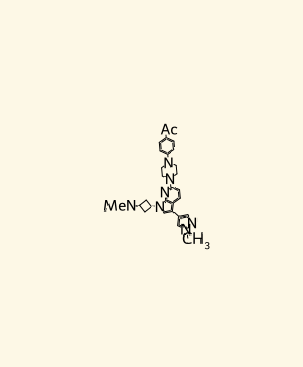 CN[C@H]1C[C@H](n2cc(-c3cnn(C)c3)c3ccc(N4CCN(c5ccc(C(C)=O)cc5)CC4)nc32)C1